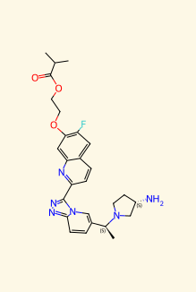 CC(C)C(=O)OCCOc1cc2nc(-c3nnc4ccc([C@H](C)N5CC[C@H](N)C5)cn34)ccc2cc1F